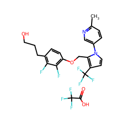 Cc1ccc(-n2ccc(C(F)(F)F)c2COc2ccc(CCCO)c(F)c2F)cn1.O=C(O)C(F)(F)F